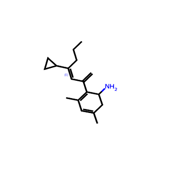 C=C(/C=C(\CCC)C1CC1)C1=C(C)C=C(C)CC1N